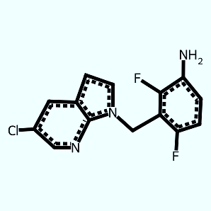 Nc1ccc(F)c(Cn2ccc3cc(Cl)cnc32)c1F